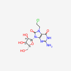 Nc1nc2c(c(=O)[nH]1)n(CCCl)c(=O)n2[C@@H]1O[C@H](CO)[C@@H](O)[C@H]1O